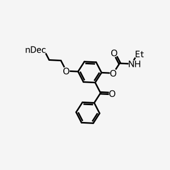 CCCCCCCCCCCCOc1ccc(OC(=O)NCC)c(C(=O)c2ccccc2)c1